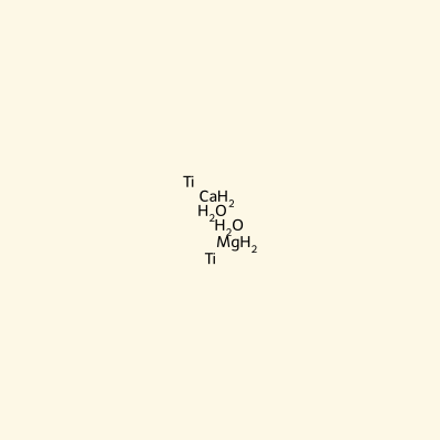 O.O.[CaH2].[MgH2].[Ti].[Ti]